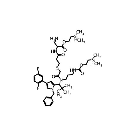 C[SiH](C)CCOC(=O)NCCCN(C(=O)CSCCC(=O)NC(CN)C(=O)OCC[SiH](C)C)[C@@H](c1cc(-c2cc(F)ccc2F)cn1Cc1ccccc1)C(C)(C)C